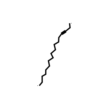 [CH2]CC#CCCCCCCCCCCCC[CH2]